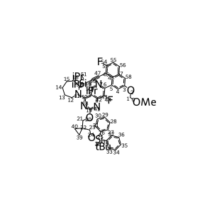 COCOc1cc(-c2ncc3c(N4CCCCCC4)nc(OCC4(CO[Si](c5ccccc5)(c5ccccc5)C(C)(C)C)CC4)nc3c2F)c2c(C#C[Si](C(C)C)(C(C)C)C(C)C)c(F)ccc2c1